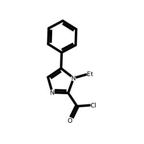 CCn1c(-c2ccccc2)cnc1C(=O)Cl